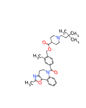 Cc1nc2c(o1)-c1ccccc1N(C(=O)c1ccc(COC(=O)C3CCN(CCC(C)(C)C)CC3)c(C)c1)CC2